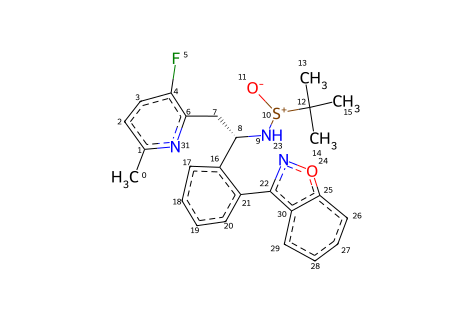 Cc1ccc(F)c(C[C@H](N[S+]([O-])C(C)(C)C)c2ccccc2-c2noc3ccccc23)n1